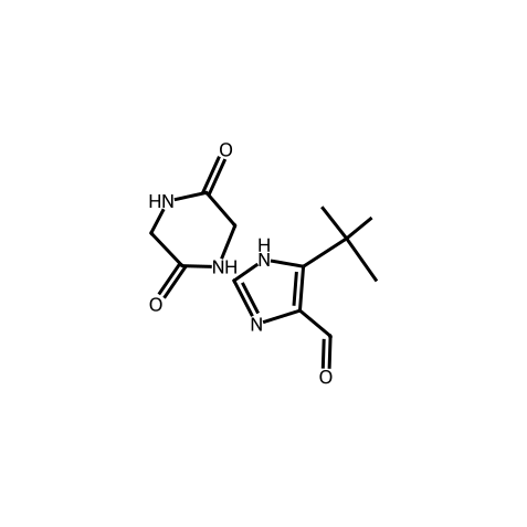 CC(C)(C)c1[nH]cnc1C=O.O=C1CNC(=O)CN1